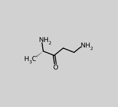 C[C@H](N)C(=O)CCN